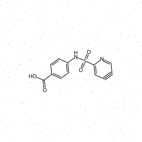 O=C(O)c1ccc(NS(=O)(=O)c2cc#ccn2)cc1